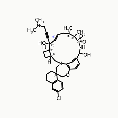 C[C@@H]1[C@@H](C)C/C=C/[C@@](O)(C#CCN(C)C)[C@@H]2CC[C@H]2CN2C[C@@]3(CCCc4cc(Cl)ccc43)COc3ccc(cc32)C(O)NS1(=O)=O